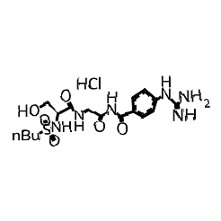 CCCCS(=O)(=O)N[C@@H](CO)C(=O)NCC(=O)NC(=O)c1ccc(NC(=N)N)cc1.Cl